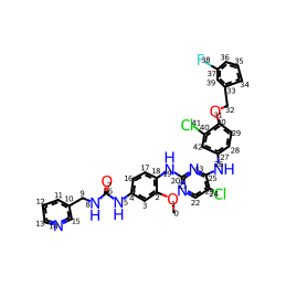 COc1cc(NC(=O)NCc2cccnc2)ccc1Nc1ncc(Cl)c(Nc2ccc(OCc3cccc(F)c3)c(Cl)c2)n1